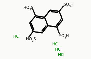 Cl.Cl.Cl.Cl.O=S(=O)(O)c1cc(S(=O)(=O)O)c2cc(S(=O)(=O)O)cc(S(=O)(=O)O)c2c1